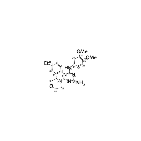 CCc1ccc(N2C(N3CCOCC3)=NC(N)=NC2Nc2ccc(OC)c(OC)c2)cc1